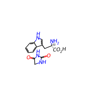 N[C@@H](Cc1c[nH]c2ccccc12)C(=O)O.O=C1CNC(=O)N1